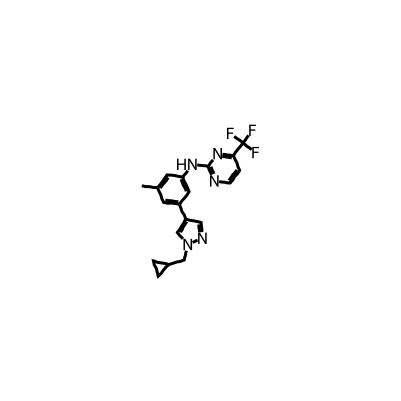 Cc1cc(Nc2nccc(C(F)(F)F)n2)cc(-c2cnn(CC3CC3)c2)c1